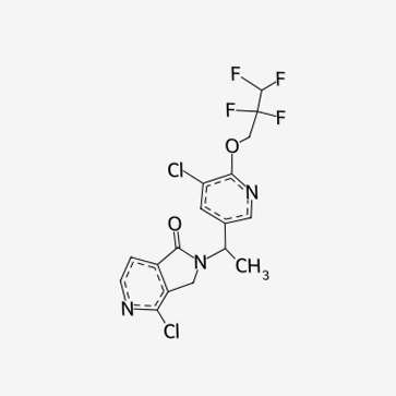 CC(c1cnc(OCC(F)(F)C(F)F)c(Cl)c1)N1Cc2c(ccnc2Cl)C1=O